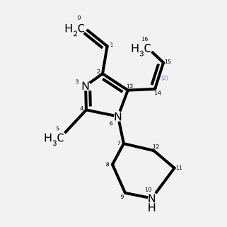 C=Cc1nc(C)n(C2CCNCC2)c1/C=C\C